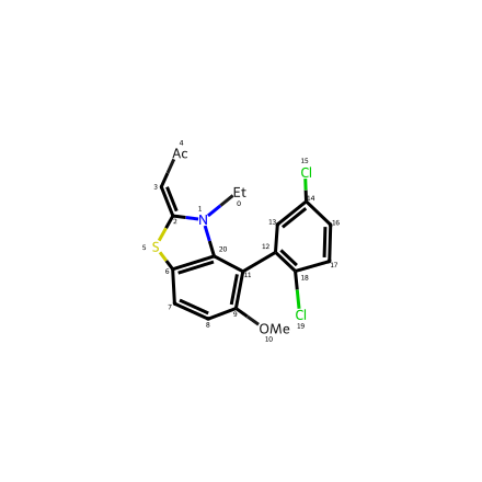 CCN1C(=CC(C)=O)Sc2ccc(OC)c(-c3cc(Cl)ccc3Cl)c21